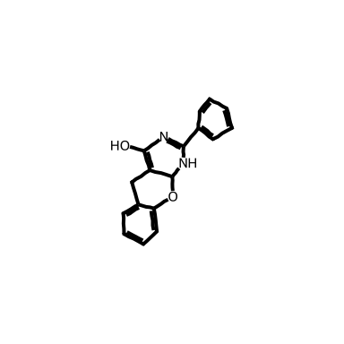 OC1=C2Cc3ccccc3OC2NC(c2ccccc2)=N1